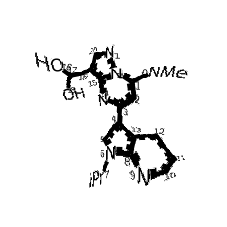 CNc1cc(-c2cn(C(C)C)c3ncccc23)nc2c(C(O)O)cnn12